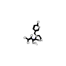 O=[N+]([O-])/C(C(Cl)=C(Cl)Cl)=C1\NCCN1Cc1ccc(Cl)nc1